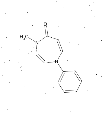 CN1C=CN(c2ccccc2)C=CC1=O